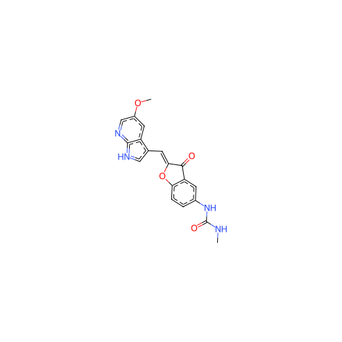 CNC(=O)Nc1ccc2c(c1)C(=O)/C(=C/c1c[nH]c3ncc(OC)cc13)O2